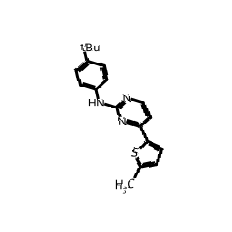 Cc1ccc(-c2ccnc(Nc3ccc(C(C)(C)C)cc3)n2)s1